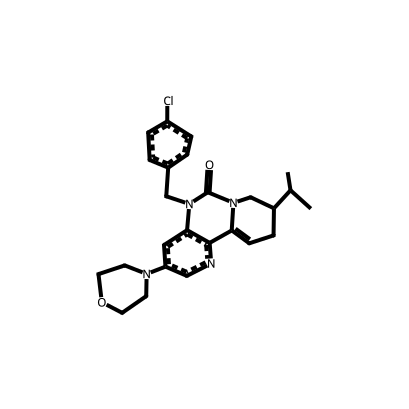 CC(C)C1CC=C2c3ncc(N4CCOCC4)cc3N(Cc3ccc(Cl)cc3)C(=O)N2C1